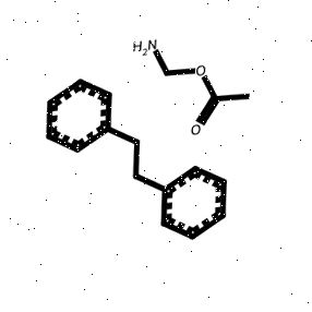 CC(=O)OCN.c1ccc(CCc2ccccc2)cc1